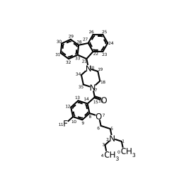 CCN(CC)CCOc1cc(F)ccc1C(=O)N1CCN(C2c3ccccc3-c3ccccc32)CC1